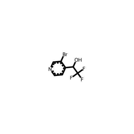 OC(c1ccncc1Br)C(F)(F)F